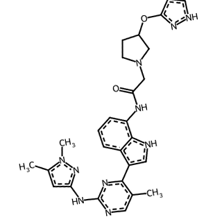 Cc1cnc(Nc2cc(C)n(C)n2)nc1-c1c[nH]c2c(NC(=O)CN3CCC(Oc4cc[nH]n4)C3)cccc12